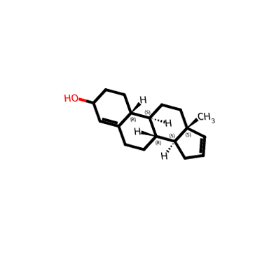 C[C@@]12C=CC[C@H]1[C@@H]1CCC3=CC(O)CC[C@@H]3[C@H]1CC2